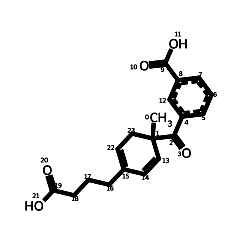 CC1(C(=O)c2cccc(C(=O)O)c2)C=CC(CCCC(=O)O)=CC1